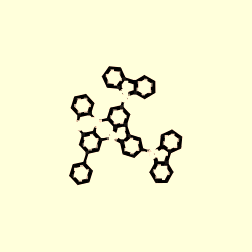 c1ccc(-c2cc3c4c(c2)-n2c5ccc(-n6c7ccccc7c7ccccc76)cc5c5cc(-n6c7ccccc7c7ccccc76)cc(c52)B4c2ccccc2S3)cc1